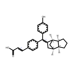 O=C(O)/C=C/c1ccc(/C(=C2\C[C@H]3C[C@@H]2[C@H]2CCC[C@@H]32)c2ccc(O)cc2)cc1